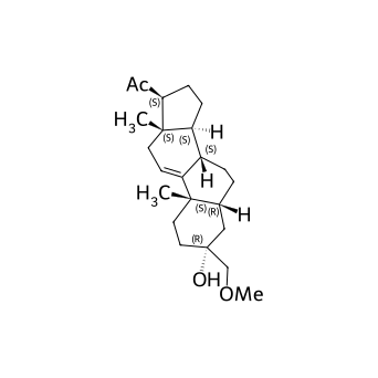 COC[C@@]1(O)CC[C@]2(C)C3=CC[C@]4(C)[C@@H](C(C)=O)CC[C@H]4[C@@H]3CC[C@@H]2C1